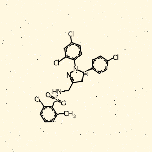 Cc1cccc(Cl)c1S(=O)(=O)NCC1=NN(c2ccc(Cl)cc2Cl)[C@@H](c2ccc(Cl)cc2)C1